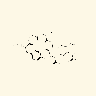 CC(=O)N[C@H](Cc1ccc(O)cc1)C(=O)N[C@@H](C(=O)N[C@H](CC(=O)O)C(=O)N[C@H](CCCCN)C(=O)N[C@H](CCCNC(=N)N)C(N)=O)C(C)C